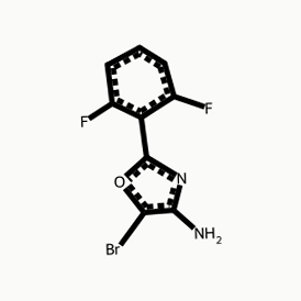 Nc1nc(-c2c(F)cccc2F)oc1Br